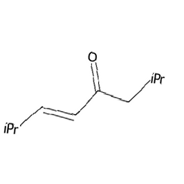 CC(C)C=CC(=O)CC(C)C